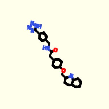 O=C(Cc1ccc(OCc2ccc3ccccc3n2)cc1)NCc1ccc(-c2nnn[nH]2)cc1